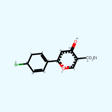 CCOC(=O)c1coc(C2=CCC(Br)C=C2)cc1=O